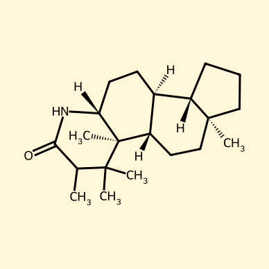 CC1C(=O)N[C@@H]2CC[C@H]3[C@@H]4CCC[C@@]4(C)CC[C@@H]3[C@@]2(C)C1(C)C